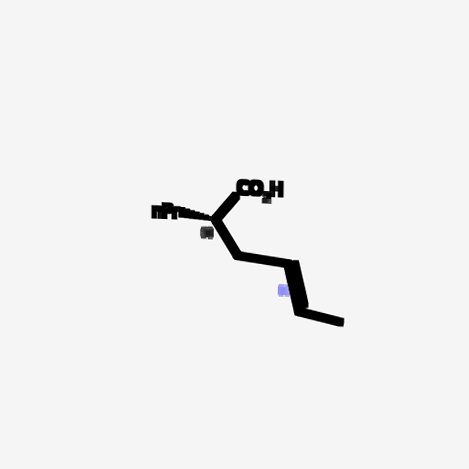 C/C=C/C[C@H](CCC)C(=O)O